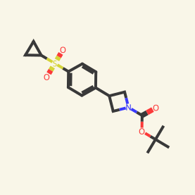 CC(C)(C)OC(=O)N1CC(c2ccc(S(=O)(=O)C3CC3)cc2)C1